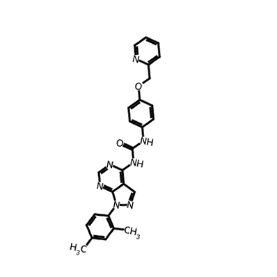 Cc1ccc(-n2ncc3c(NC(=O)Nc4ccc(OCc5ccccn5)cc4)ncnc32)c(C)c1